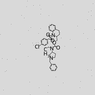 CCN(C(=O)OCC1CCc2ccccc2N1S(=O)(=O)c1ccc(Cl)cc1)C1CCN(Cc2ccccc2)C1